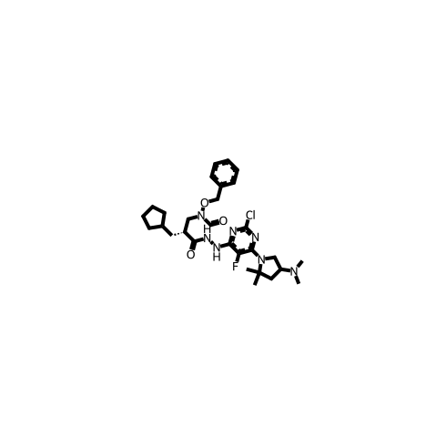 CN(C)C1CN(c2nc(Cl)nc(NNC(=O)[C@H](CC3CCCC3)CN(C=O)OCc3ccccc3)c2F)C(C)(C)C1